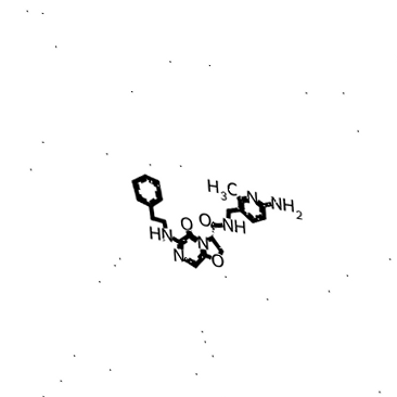 Cc1nc(N)ccc1CNC(=O)[C@@H]1COc2cnc(NCCc3ccccc3)c(=O)n21